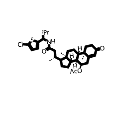 CC(=O)O[C@@H]1CC2=CC(=O)CC[C@]2(C)[C@H]2CC[C@]3(C)C([C@H](C)CC(=O)NC(c4ccc(Cl)s4)C(C)C)CC[C@H]3[C@H]12